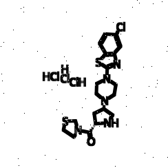 Cl.Cl.Cl.O=C([C@@H]1C[C@H](N2CCN(c3nc4cc(Cl)ccc4s3)CC2)CN1)N1CCSC1